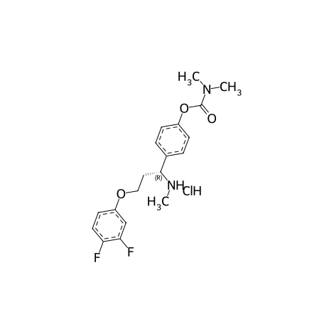 CN[C@H](CCOc1ccc(F)c(F)c1)c1ccc(OC(=O)N(C)C)cc1.Cl